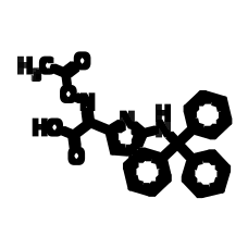 CC(=O)ON=C(C(=O)O)c1csc(NC(c2ccccc2)(c2ccccc2)c2ccccc2)n1